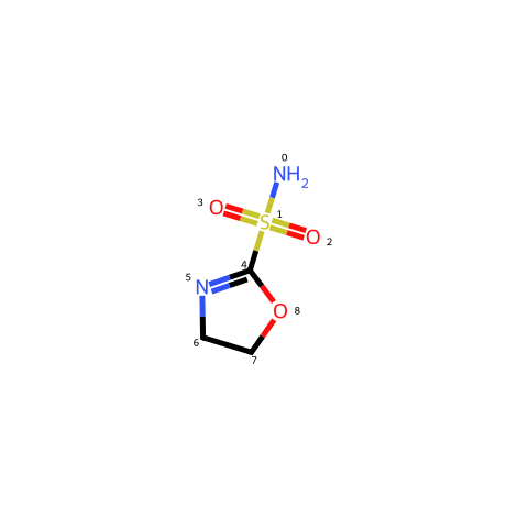 NS(=O)(=O)C1=NCCO1